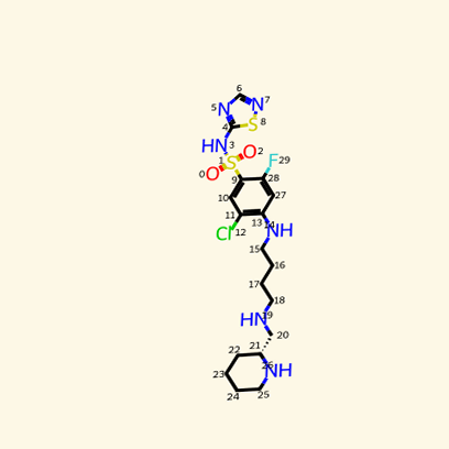 O=S(=O)(Nc1ncns1)c1cc(Cl)c(NCCCCNC[C@H]2CCCCN2)cc1F